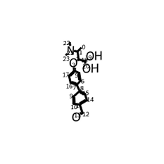 CC(C(Oc1ccc(-c2ccc(C=O)cc2)cc1)C(O)O)N(C)C